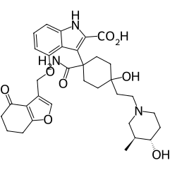 C[C@H]1CN(CCC2(O)CCC(C(N)=O)(c3c(C(=O)O)[nH]c4cccc(OCc5coc6c5C(=O)CCC6)c34)CC2)CC[C@@H]1O